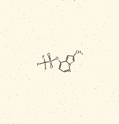 Cc1cc2c(OS(=O)(=O)C(F)(F)F)ccnn2c1